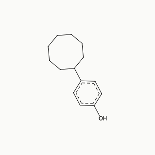 Oc1ccc(C2CCCCCCC2)cc1